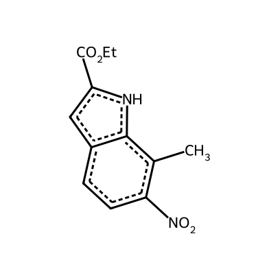 CCOC(=O)c1cc2ccc([N+](=O)[O-])c(C)c2[nH]1